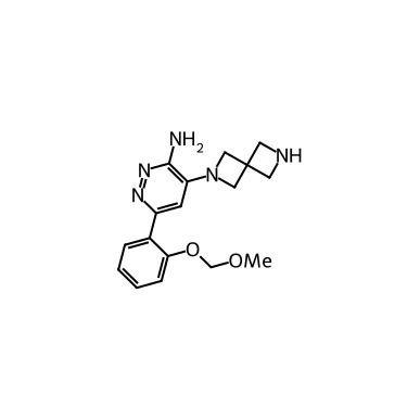 COCOc1ccccc1-c1cc(N2CC3(CNC3)C2)c(N)nn1